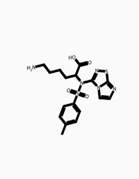 Cc1ccc(S(=O)(=O)N(c2nsc3nccn23)C(CCCCN)C(=O)O)cc1